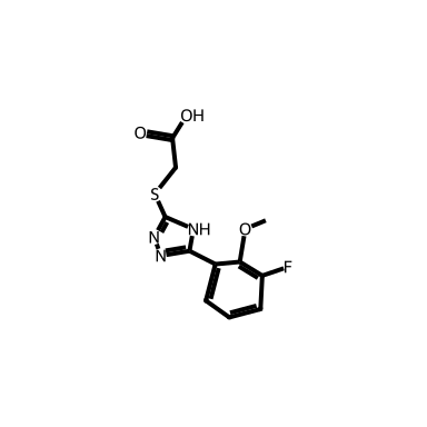 COc1c(F)cccc1-c1nnc(SCC(=O)O)[nH]1